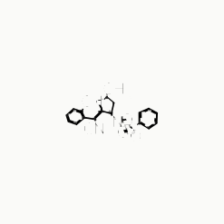 Cc1ccccc1C(C#N)=C1SC(C)CC1=NOS(=O)(=O)c1ccccc1